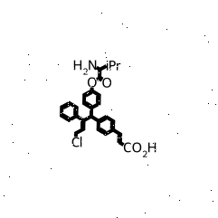 CC(C)C(N)C(=O)Oc1ccc(C(C(=CCCl)c2ccccc2)c2ccc(C=CC(=O)O)cc2)cc1